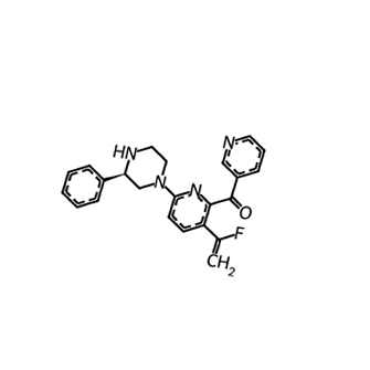 C=C(F)c1ccc(N2CCN[C@H](c3ccccc3)C2)nc1C(=O)c1cccnc1